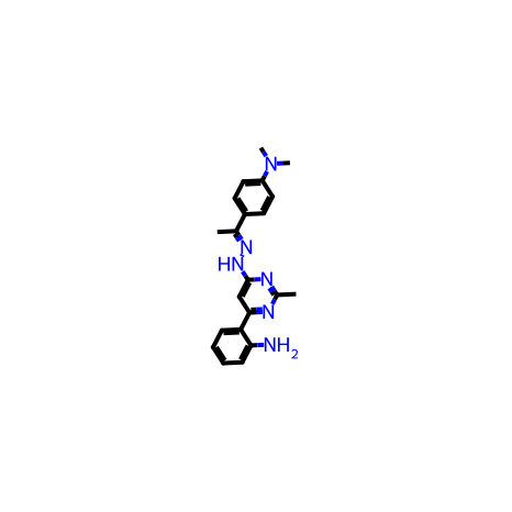 C/C(=N\Nc1cc(-c2ccccc2N)nc(C)n1)c1ccc(N(C)C)cc1